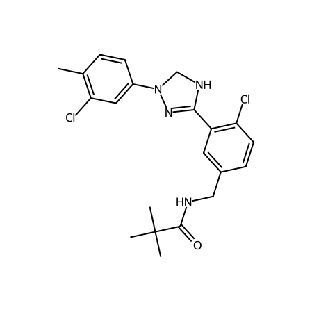 Cc1ccc(N2CNC(c3cc(CNC(=O)C(C)(C)C)ccc3Cl)=N2)cc1Cl